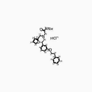 CNC(=O)CN(CCc1cccc(OCCc2ccccc2)c1)Cc1ccco1.Cl